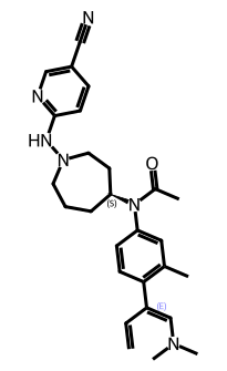 C=C/C(=C\N(C)C)c1ccc(N(C(C)=O)[C@H]2CCCN(Nc3ccc(C#N)cn3)CC2)cc1C